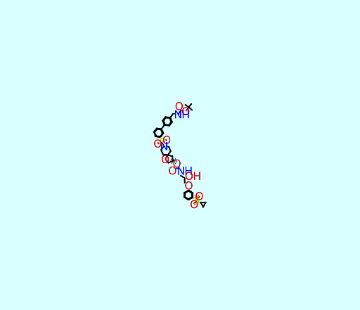 CC(C)(C)OC(=O)NCc1ccc(-c2cccc(S(=O)(=O)N3CCC4(CC3)C[C@@H](OC(=O)NCC(O)COc3cccc(S(=O)(=O)C5CC5)c3)CO4)c2)cc1